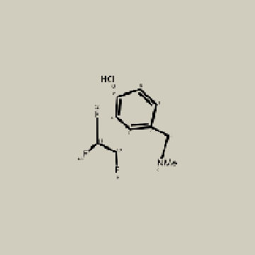 CNCc1ccccc1.Cl.FCC(F)F